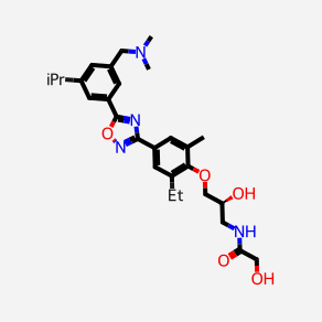 CCc1cc(-c2noc(-c3cc(CN(C)C)cc(C(C)C)c3)n2)cc(C)c1OC[C@@H](O)CNC(=O)CO